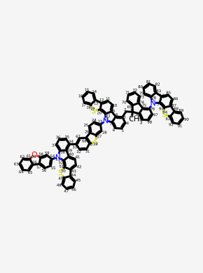 CC1(Cc2cccc3c2c2ccc4c5ccccc5sc4c2n3-c2ccc3c(c2)sc2ccc(-c4cccc5c4c4ccc6c7ccccc7sc6c4n5-c4ccc5c(c4)oc4ccccc45)cc23)c2ccccc2-c2c(-n3c4ccccc4c4ccc5c6ccccc6sc5c43)cccc21